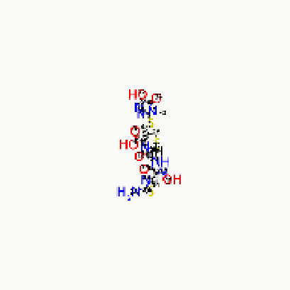 Cn1c(SCC2=C(C(=O)O)N3C(=O)[C@@H](NC(=O)C(=NO)c4csc(N)n4)[C@@H]3SC2)nnc(O)c1=O